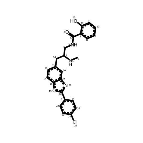 CNC(CNC(=O)c1ccccc1O)Cc1ccc2oc(-c3ccc(Cl)cc3)nc2c1